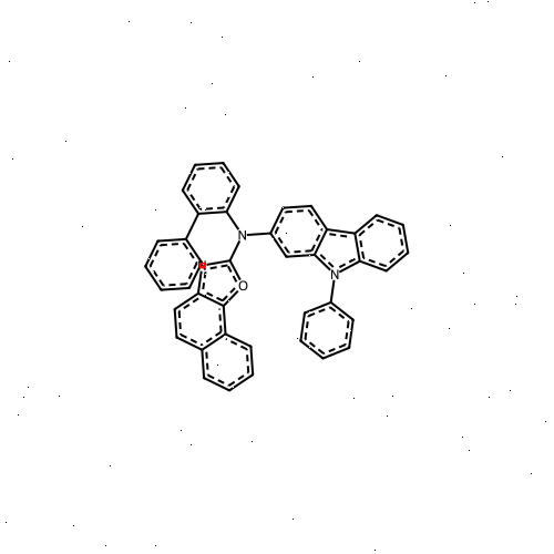 c1ccc(-c2ccccc2N(c2ccc3c4ccccc4n(-c4ccccc4)c3c2)c2nc3ccc4ccccc4c3o2)cc1